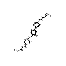 CCCCOc1ccc(-c2ccc(CC[C@H]3CC[C@H](CCCC)CC3)c(F)c2)nn1